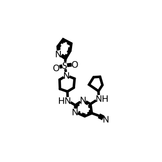 N#Cc1cnc(NC2CCN(S(=O)(=O)c3ccccn3)CC2)nc1NC1CCCC1